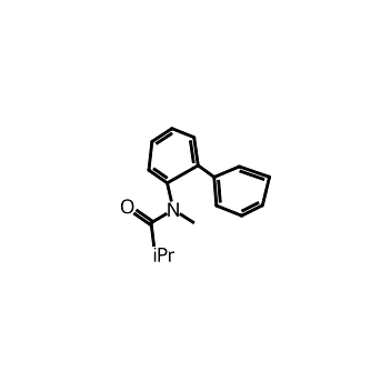 CC(C)C(=O)N(C)c1ccccc1-c1ccccc1